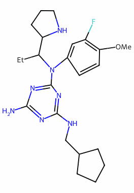 CCC(C1CCCN1)N(c1ccc(OC)c(F)c1)c1nc(N)nc(NCC2CCCC2)n1